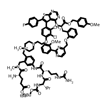 COc1ccc(COC(=O)[C@@H](Cc2ccccc2OCc2ccnc(-c3ccccc3OC)n2)Oc2ncnc3sc(-c4ccc(F)cc4)c(-c4ccc(OCCN5CC[N+](C)(Cc6ccc(NC(=O)[C@H](CCCNC(N)=O)NC(=O)[C@@H](NC(=O)OC(C)(C)C)C(C)C)cc6CN(C)C(=O)[C@@H](N)CCC(=O)OC(C)(C)C)CC5)c(Cl)c4C)c23)cc1